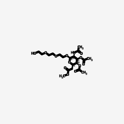 COC(=O)C[C@H]1O[C@@H](OCCOCCOCCO)[C@H](NC(C)=O)[C@@H](OC(C)=O)[C@@H]1OC(C)=O